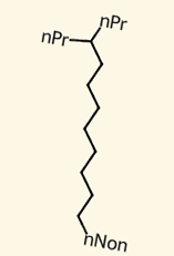 [CH2]CCC(CCC)CCCCCCCCCCCCCCCCC